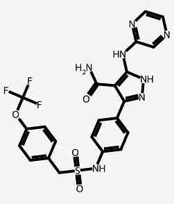 NC(=O)c1c(-c2ccc(NS(=O)(=O)Cc3ccc(OC(F)(F)F)cc3)cc2)n[nH]c1Nc1cnccn1